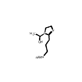 CCCCCCCCCC1=NCCN1C(C)O